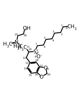 CCCCCCCC[S+]([O-])C(C)Cc1ccc2c(c1)OCO2.CN(C)CCO